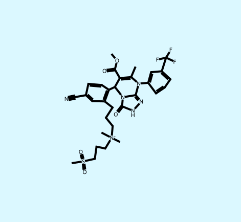 COC(=O)C1=C(C)N(c2cccc(C(F)(F)F)c2)c2n[nH]c(=O)n2C1c1ccc(C#N)cc1CCC[N+](C)(C)CCCS(C)(=O)=O